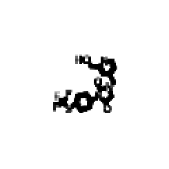 O=C1CN(Cc2ccnc(CO)c2)C(=O)N1c1ccc(SC(F)(F)F)cc1